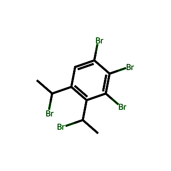 CC(Br)c1cc(Br)c(Br)c(Br)c1C(C)Br